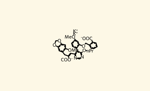 CCCOc1ncnc(C=C(Cc2cc3c(cc2OC)OCO3)C(=O)[O-])c1-c1ccc(OC)cc1OCc1ccccc1C(=O)[O-].[K+].[K+]